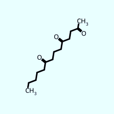 CCCCCC(=O)CCCC(=O)CCC(C)=O